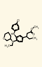 CCC(CC(=O)OC)c1ccc(N(CC)C2CCCOC2)c(Nc2ccc(Cl)cc2)c1